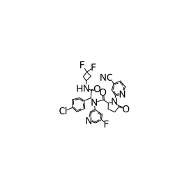 N#Cc1ccnc(N2C(=O)CCC2C(=O)N(c2cncc(F)c2)[C@H](C(=O)NC2CC(F)(F)C2)c2ccc(Cl)cc2)c1